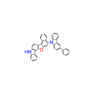 c1ccc(-c2ccc3c(c2)c2ccccc2n3-c2cc3oc4c(ccc5[nH]c6ccccc6c54)c3c3ccccc23)cc1